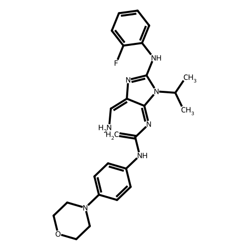 C=C(/N=C1\C(=C/N)N=C(Nc2ccccc2F)N1C(C)C)Nc1ccc(N2CCOCC2)cc1